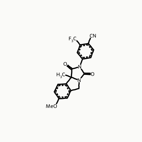 COc1ccc2c(c1)CN1C(=O)N(c3ccc(C#N)c(C(F)(F)F)c3)C(=O)C21C